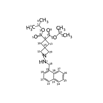 CC(C)OC(=O)C1(C(=O)OC(C)C)CC2(CN(NCc3cccc4ccccc34)C2)C1